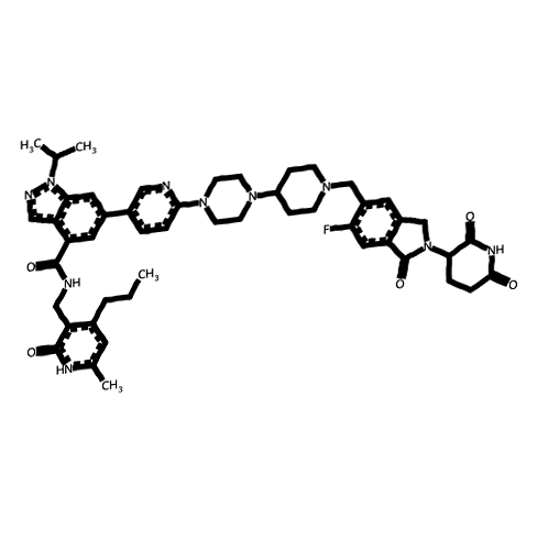 CCCc1cc(C)[nH]c(=O)c1CNC(=O)c1cc(-c2ccc(N3CCN(C4CCN(Cc5cc6c(cc5F)C(=O)N(C5CCC(=O)NC5=O)C6)CC4)CC3)nc2)cc2c1cnn2C(C)C